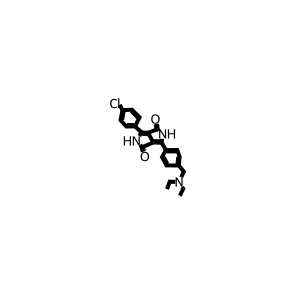 CCN(CC)Cc1ccc(C2=C3C(=O)NC(c4ccc(Cl)cc4)=C3C(=O)N2)cc1